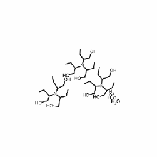 CCC(CO)N(C(CC)CO)C(CC)CO.CCC(CO)N(C(CC)CO)C(CC)CO.CCC(CO)N(C(CC)CO)C(CC)CO.O.O.O